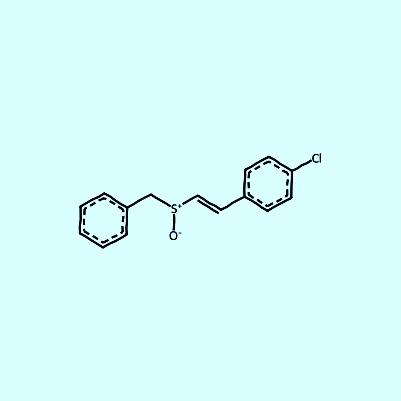 [O-][S+](/C=C/c1ccc(Cl)cc1)Cc1ccccc1